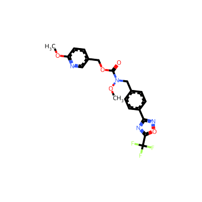 COc1ccc(COC(=O)N(Cc2ccc(-c3noc(C(F)(F)F)n3)cc2)OC)cn1